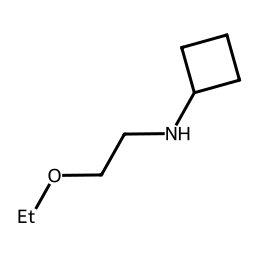 CCOCCNC1CCC1